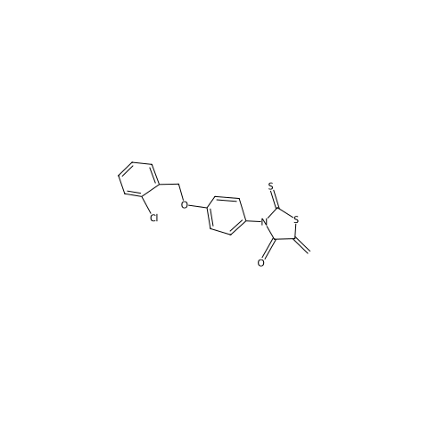 C=C1SC(=S)N(c2ccc(OCc3ccccc3Cl)cc2)C1=O